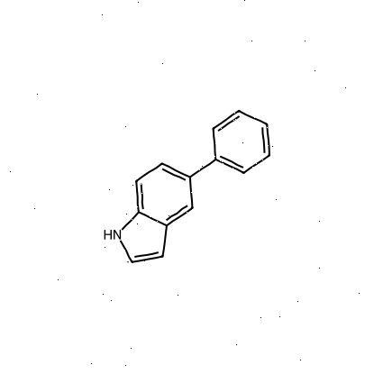 [c]1cc2cc(-c3ccccc3)ccc2[nH]1